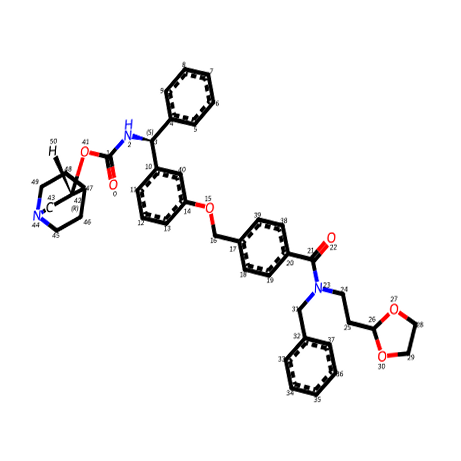 O=C(N[C@@H](c1ccccc1)c1cccc(OCc2ccc(C(=O)N(CCC3OCCO3)Cc3ccccc3)cc2)c1)O[C@H]1CN2CCC1CC2